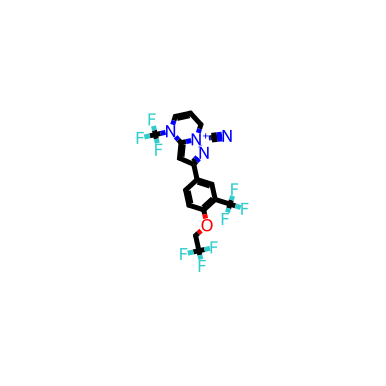 N#C[N+]12CC=CN(C(F)(F)F)C1=CC(c1ccc(OCC(F)(F)F)c(C(F)(F)F)c1)=N2